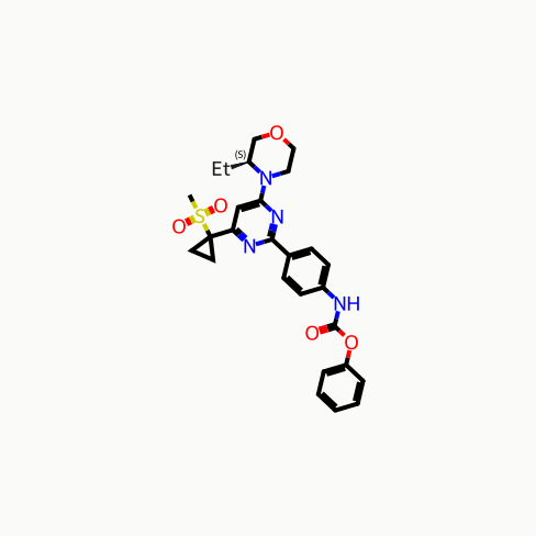 CC[C@H]1COCCN1c1cc(C2(S(C)(=O)=O)CC2)nc(-c2ccc(NC(=O)Oc3ccccc3)cc2)n1